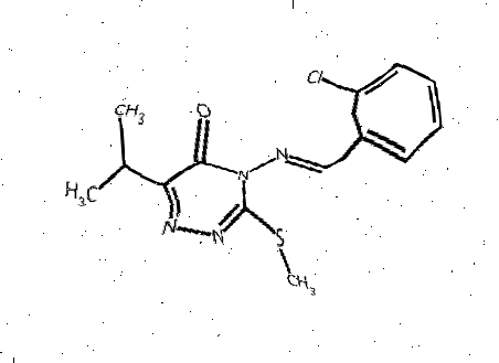 CSc1nnc(C(C)C)c(=O)n1N=Cc1ccccc1Cl